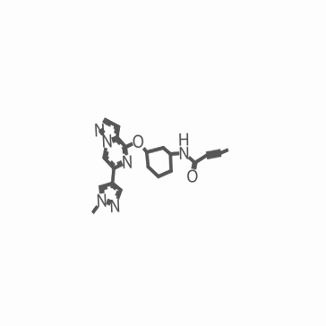 CC#CC(=O)NC1CCCC(Oc2nc(-c3cnn(C)c3)cn3nccc23)C1